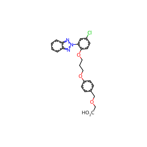 O=C(O)COCc1ccc(OCCCOc2ccc(Cl)cc2-n2nc3ccccc3n2)cc1